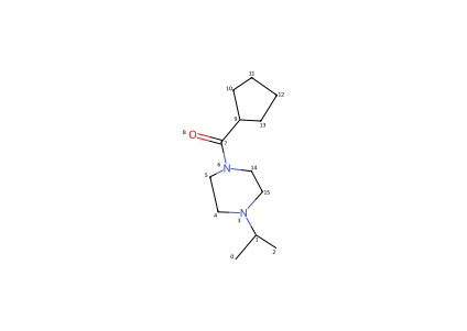 CC(C)N1CCN(C(=O)C2CCCC2)CC1